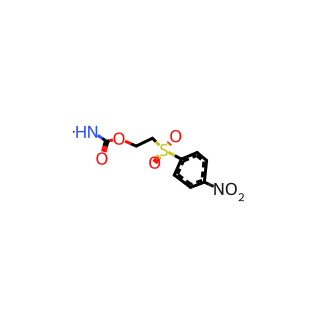 [NH]C(=O)OCCS(=O)(=O)c1ccc([N+](=O)[O-])cc1